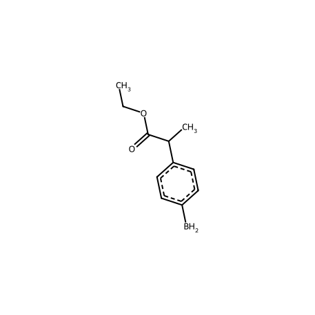 Bc1ccc(C(C)C(=O)OCC)cc1